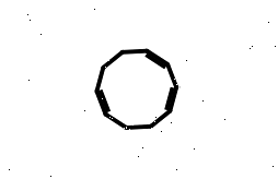 [C]1=CCCC=CCCC=C1